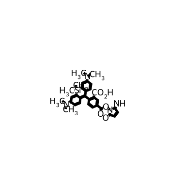 CN(C)c1ccc2c(c1)[Si](C)(C)C1=CC(=[N+](C)C)C=CC1=C2c1ccc(C(=O)ON2C(=N)C=CC2=O)cc1C(=O)O